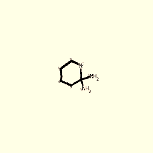 NC1(N)CCCC[N]1